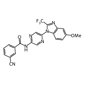 COc1ccc2c(c1)nc(C(F)(F)F)n2-c1cnc(NC(=O)c2cccc(C#N)c2)cn1